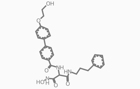 O=C(NC(C(=O)NO)C(=O)NCCCc1ccccc1)c1ccc(-c2ccc(OCCO)cc2)cc1